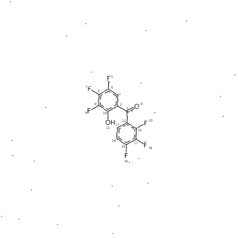 O=C(c1cc(F)c(F)c(F)c1O)c1ccc(F)c(F)c1F